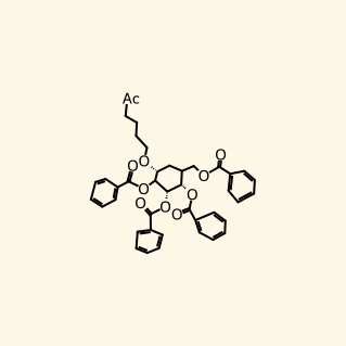 CC(=O)CCCCO[C@@H]1CC(COC(=O)c2ccccc2)[C@H](OC(=O)c2ccccc2)[C@H](OC(=O)c2ccccc2)C1OC(=O)c1ccccc1